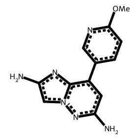 COc1ccc(-c2cc(N)nn3cc(N)nc23)cn1